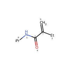 C=C(CC)C(=O)NC(C)C